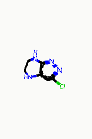 Clc1cc2c(nn1)NCCN2